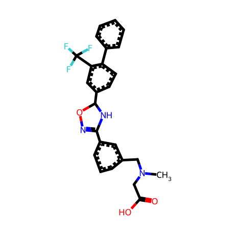 CN(CC(=O)O)Cc1cccc(C2=NOC(c3ccc(-c4ccccc4)c(C(F)(F)F)c3)N2)c1